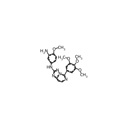 COc1ccc(Nc2nc3ccnc(-c4cc(OC)c(OC)c(OC)c4)n3n2)cc1N